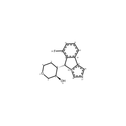 O[C@H]1COCC[C@@H]1C1c2c(F)cccc2-c2cncn21